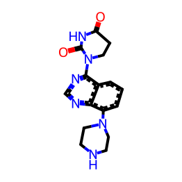 O=C1CCN(c2ncnc3c(N4CCNCC4)cccc23)C(=O)N1